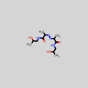 CC(O)CNC(=O)C(C)N=NC(C)C(=O)NCC(C)O